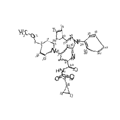 COCC1CCN(c2cc(C(=O)NS(=O)(=O)C3CC3)nc3c2c(C2CCC2)nn3-c2ccccc2)CC1